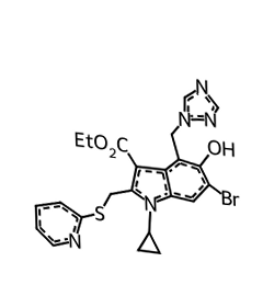 CCOC(=O)c1c(CSc2ccccn2)n(C2CC2)c2cc(Br)c(O)c(Cn3cncn3)c12